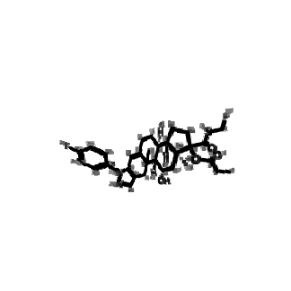 CCC(=O)O[C@]1(C(=O)SCF)CC[C@H]2[C@@H]3CCC4=Cc5c(cnn5-c5ccc(F)nc5)CC4(C)[C@H]3[C@@H](O)C[C@@]21C